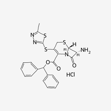 Cc1nnc(SC2=C(C(=O)OC(c3ccccc3)c3ccccc3)N3C(=O)[C@@H](N)[C@H]3SC2)s1.Cl